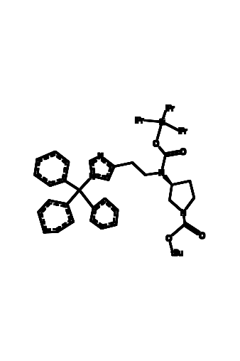 CC(C)[Si](OC(=O)N(CCc1cn(C(c2ccccc2)(c2ccccc2)c2ccccc2)cn1)[C@H]1CCN(C(=O)OC(C)(C)C)C1)(C(C)C)C(C)C